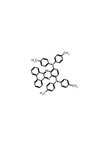 Cc1ccc(N(c2ccc(C)cc2)c2ccc(N(c3ccc(C)cc3)c3ccc(C)cc3)c3nc4c5ccccc5c5ccccc5c4nc23)cc1